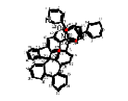 c1ccc(-c2cc(-c3cccnc3)nc(-c3ccc4c(c3)C3(c5ccccc5-c5ccccc5-4)c4ccccc4-c4cc5oc6ccccc6c5cc43)n2)cc1